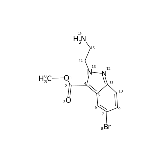 COC(=O)c1c2cc(Br)ccc2nn1CCN